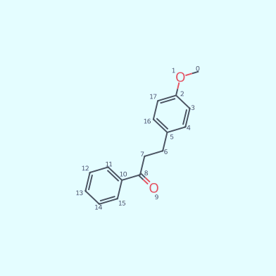 COc1ccc(CCC(=O)c2ccccc2)cc1